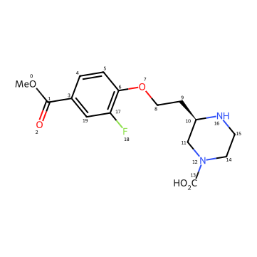 COC(=O)c1ccc(OCC[C@@H]2CN(C(=O)O)CCN2)c(F)c1